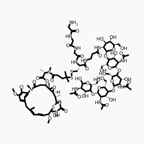 COc1cc2cc(c1Cl)N(C)C(=O)C[C@H](OC(=O)[C@H](C)N(C)C(=O)CCC(C)(C)SSC[C@H](NC(=O)CNC(=O)CNC(=O)CN)C(=O)NCCC(=O)N[C@H]1[C@H](OC3[C@@H](CO)O[C@@H](OC4[C@@H](CO)O[C@@H](OC5[C@@H](CO)O[C@@H](OC6[C@@H](CO)OC(O)[C@H](NC(C)=O)[C@H]6O)[C@H](NC(C)=O)[C@H]5O)[C@H](NC(C)=O)[C@H]4O)[C@H](NC(C)=O)[C@H]3O)O[C@H](CO)[C@@H](O)[C@@H]1O)[C@]1(C)O[C@H]1[C@H](C)[C@@H]1C[C@@](O)(NC(=O)O1)[C@H](OC)/C=C/C=C(\C)C2